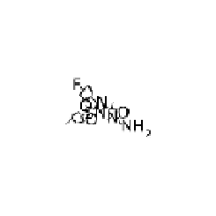 Cc1ccc(S(=O)(=O)c2c(-c3ccc(F)cc3)nc3n2CCN(C(=O)CN)C3(C)C)cc1